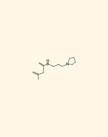 C=C(C)CC(=C)BCCCN1CCCC1